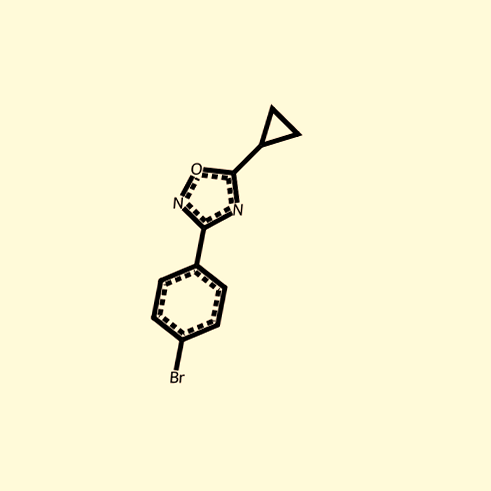 Brc1ccc(-c2noc(C3CC3)n2)cc1